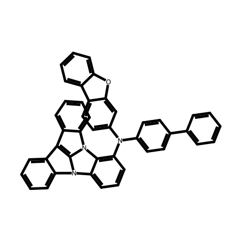 c1ccc(-c2ccc(N(c3ccc4c(c3)oc3ccccc34)c3cccc4c3n3c5ccccc5c5c6ccccc6n4c53)cc2)cc1